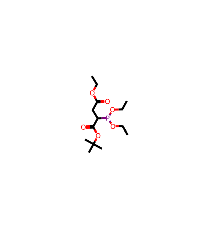 CCOC(=O)CC(C(=O)OC(C)(C)C)P(OCC)OCC